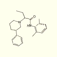 CCC(C(=O)Nc1c(C)cccc1C)N1CCCC(c2ccccc2)C1